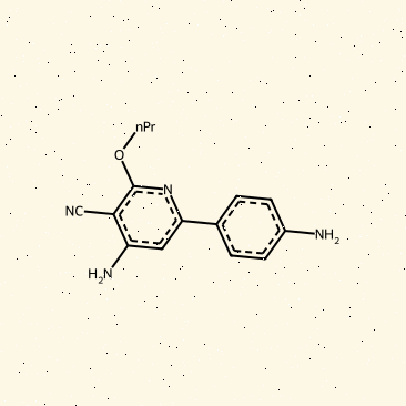 CCCOc1nc(-c2ccc(N)cc2)cc(N)c1C#N